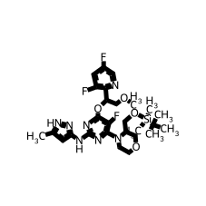 COCC(Oc1nc(Nc2cc(C)[nH]n2)nc(N2CCOCC2CO[Si](C)(C)C(C)(C)C)c1F)c1ncc(F)cc1F